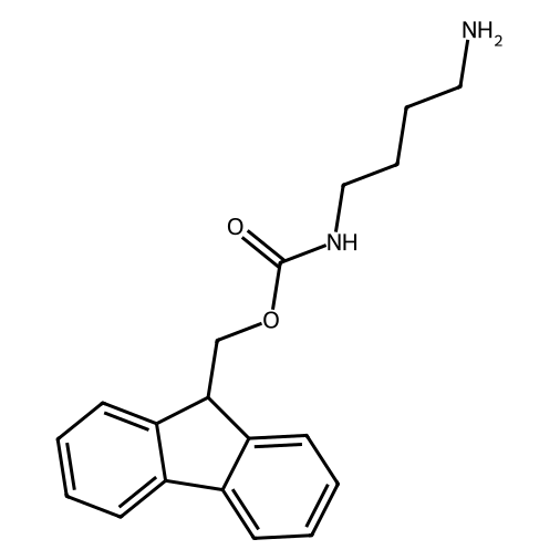 NCCCCNC(=O)OCC1c2ccccc2-c2ccccc21